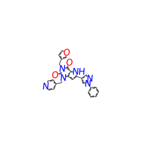 O=c1c2[nH]c(-c3cnn(-c4ccccc4)c3)cc2n(Cc2ccncc2)c(=O)n1Cc1ccoc1